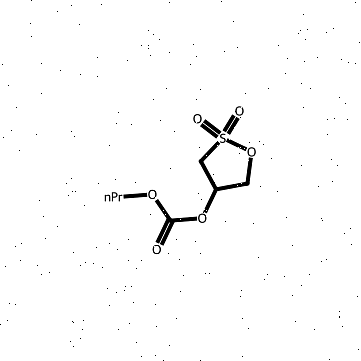 CCCOC(=O)OC1COS(=O)(=O)C1